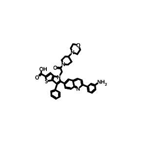 Nc1cccc(-c2ccc3cc(-c4c(-c5ccccc5)c5sc(C(=O)O)cc5n4CC(=O)N4CCC(N5CCOCC5)CC4)ccc3n2)c1